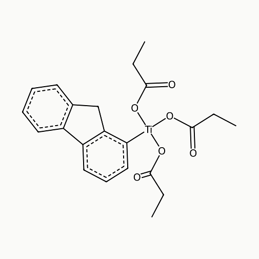 CCC(=O)[O][Ti]([O]C(=O)CC)([O]C(=O)CC)[c]1cccc2c1Cc1ccccc1-2